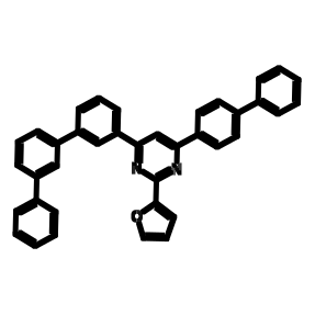 c1ccc(-c2ccc(-c3cc(-c4cccc(-c5cccc(-c6ccccc6)c5)c4)nc(-c4ccco4)n3)cc2)cc1